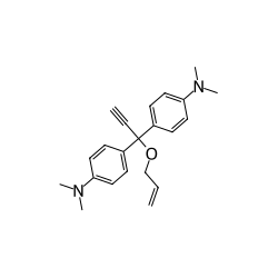 C#CC(OCC=C)(c1ccc(N(C)C)cc1)c1ccc(N(C)C)cc1